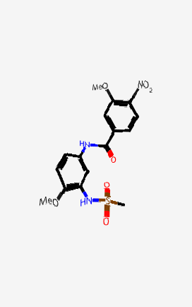 COc1ccc(NC(=O)c2ccc([N+](=O)[O-])c(OC)c2)cc1NS(C)(=O)=O